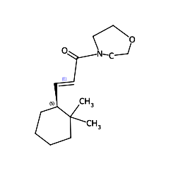 CC1(C)CCCC[C@H]1/C=C/C(=O)N1CCOCC1